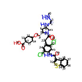 CN/C=C\N[C@H]1C[C@@H](CO[C@H]2CC[C@H](C(=O)O)CC2)N(C(=O)Cc2cc(Cl)c(NC(=O)c3csc4ccccc34)cc2Cl)C1